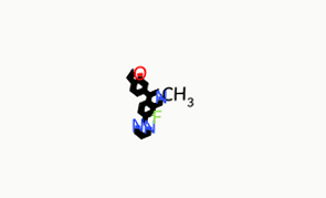 CN1Cc2c(ccc(-c3ncccn3)c2F)C(c2ccc3ccoc3c2)C1